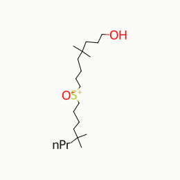 CCCC(C)(C)CCCC[S+]([O-])CCCCC(C)(C)CCCO